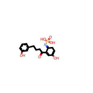 O=C(CCCc1cccc(O)c1)C1=CC(O)=CCC1=NP(=O)(O)O